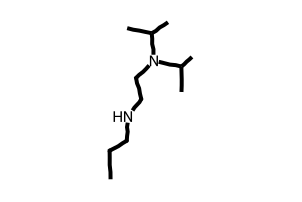 CCCNCCN(C(C)C)C(C)C